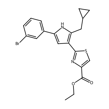 CCOC(=O)c1csc(-c2cc(-c3cccc(Br)c3)[nH]c2CC2CC2)n1